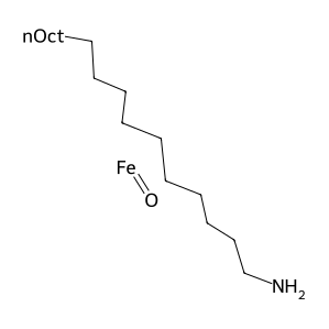 CCCCCCCCCCCCCCCCCCN.[O]=[Fe]